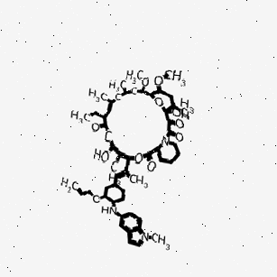 C=CCOC1CC(C=C(C)C2OC(=O)C3CCCCN3C(=O)C(=O)C3(O)OC(C(OC)CC(C)C/C(C)=C/C(CC)C(=O)CC(O)C2C)C(OC)CC3C)CCC1Nc1ccc2c(ccn2C)c1